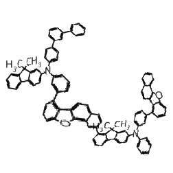 CC1(C)c2ccccc2-c2ccc(N(c3ccc(-c4cccc(-c5ccccc5)c4)cc3)c3cccc(-c4cccc5oc6c7cc(-c8cccc9c8C(C)(C)c8cc(N(c%10ccccc%10)c%10cccc(-c%11cccc%12oc%13c%14ccccc%14ccc%13c%11%12)c%10)ccc8-9)ccc7ccc6c45)c3)cc21